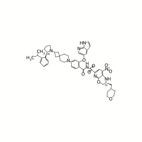 CC(C)c1ccccc1[C@H]1CCCN1C1CC2(CCN(c3ccc(C(=O)NS(=O)(=O)c4cc([N+](=O)[O-])c5c(n4)OC[C@H](CC4CCOCC4)N5)c(Oc4cnc5[nH]ccc5c4)c3)CC2)C1